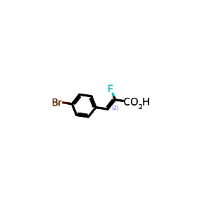 O=C(O)/C(F)=C/c1ccc(Br)cc1